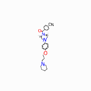 C[C@@H]1CN(c2ccc(OCCCN3CCCCC3)cc2)C[C@H](C)N1C(=O)c1ccc(C#N)cc1